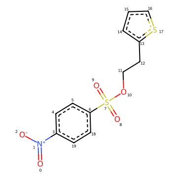 O=[N+]([O-])c1ccc(S(=O)(=O)OCCc2cccs2)cc1